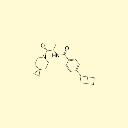 CC(NC(=O)c1ccc(C2CC3CCC32)cc1)C(=O)N1CCC2(CC1)CC2